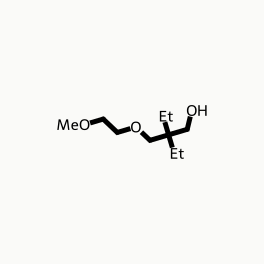 CCC(CC)(CO)COCCOC